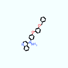 NN(c1ccc(Oc2cccc(OCc3ccccc3)c2)cc1)c1ccnc2ccccc12